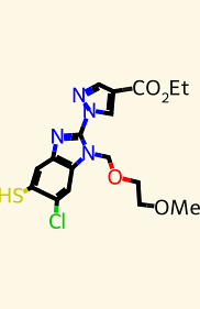 CCOC(=O)c1cnn(-c2nc3cc(S)c(Cl)cc3n2COCCOC)c1